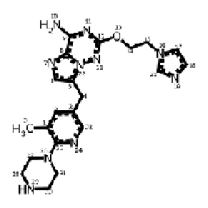 Cc1cc(Cc2cnc3c(N)nc(OCCn4ccnc4)nn23)cnc1N1CCNCC1